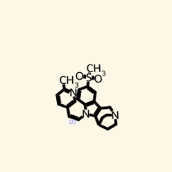 Cc1ccc(/C=C\n2c3c(c4cc(S(C)(=O)=O)ccc42)CN2CCC3CC2)cn1